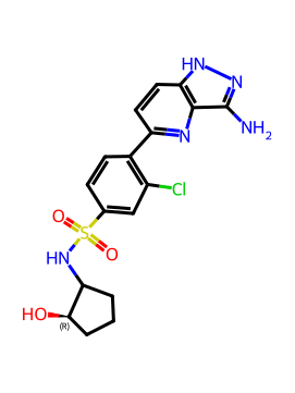 Nc1n[nH]c2ccc(-c3ccc(S(=O)(=O)NC4CCC[C@H]4O)cc3Cl)nc12